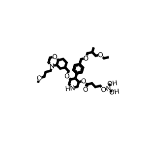 CCOCC(C)COCc1ccc(C2C(OCC3CCC4OCCN(CCCOC)C4C3)CNCC2OC(=O)CCCON(O)O)cc1